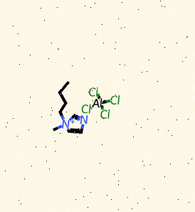 CCCC[N+]1(C)C=CN=C1.[Cl][Al-]([Cl])([Cl])[Cl]